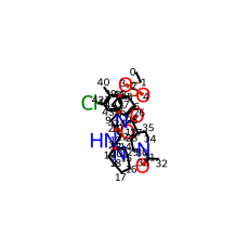 CCS(=O)(=O)c1ccc(CC(=O)NC2CC3CCC(C2)N3CCCN(C(=O)C2CCN(C(C)=O)CC2)c2ccc(C)c(Cl)c2)cc1